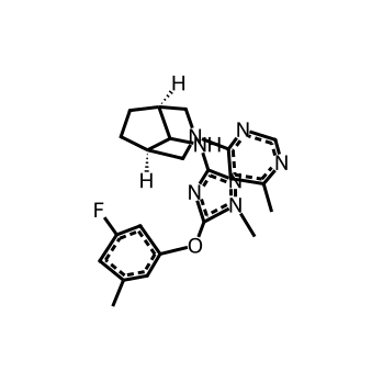 Cc1cc(F)cc(Oc2nc(NC3[C@@H]4CC[C@H]3CN(c3cc(C)ncn3)C4)nn2C)c1